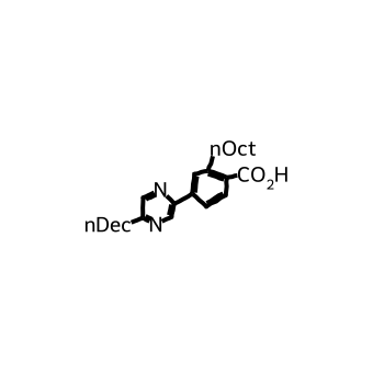 CCCCCCCCCCc1cnc(-c2ccc(C(=O)O)c(CCCCCCCC)c2)cn1